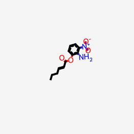 CCCC=CC(=O)Oc1cccc([N+](=O)[O-])c1N